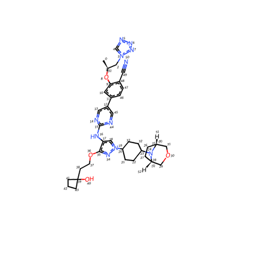 C[C@@H](Cn1cnnn1)Oc1cc(-c2cnc(Nc3cn(C4CCC(N5[C@@H]6CC[C@H]5COC6)CC4)nc3OCCC3(O)CCC3)nc2)ccc1C#N